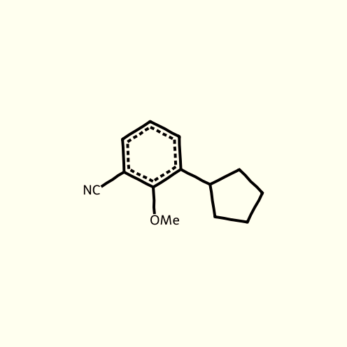 COc1c(C#N)cccc1C1CCCC1